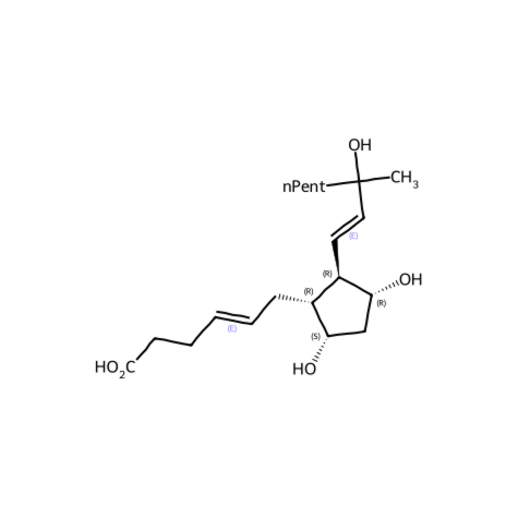 CCCCCC(C)(O)/C=C/[C@@H]1[C@@H](C/C=C/CCC(=O)O)[C@@H](O)C[C@H]1O